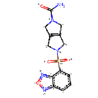 NC(=O)N1CC2=C(C1)CN(S(=O)(=O)c1cccc3nonc13)C2